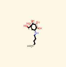 O=C(O)CCCCN[C@H]1C[C@](O)(CO)[C@@H](O)[C@H](O)[C@H]1O